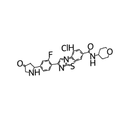 Cl.O=C1CNC(c2ccc(-c3cn4c(n3)sc3cc(C(=O)NC5CCOCC5)ccc34)c(F)c2)C1